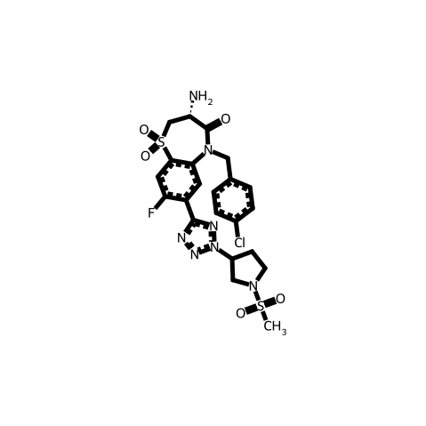 CS(=O)(=O)N1CCC(n2nnc(-c3cc4c(cc3F)S(=O)(=O)C[C@H](N)C(=O)N4Cc3ccc(Cl)cc3)n2)C1